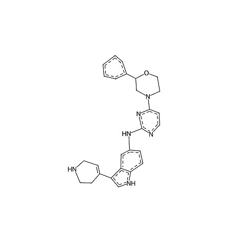 C1=C(c2c[nH]c3ccc(Nc4nccc(N5CCOC(c6ccccc6)C5)n4)cc23)CCNC1